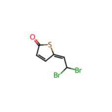 O=C1C=CC(=CC(Br)Br)S1